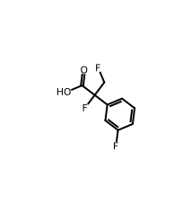 O=C(O)C(F)(CF)c1cccc(F)c1